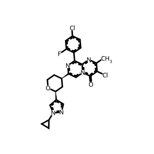 Cc1nc2c(-c3ccc(Cl)cc3F)nc([C@@H]3CCO[C@H](c4cnn(C5CC5)c4)C3)cn2c(=O)c1Cl